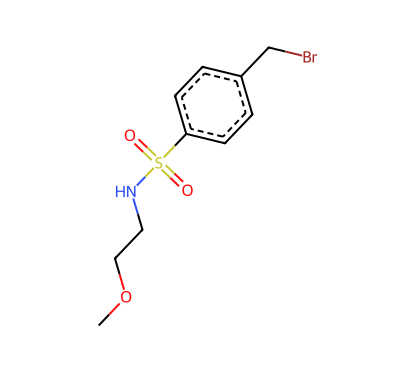 COCCNS(=O)(=O)c1ccc(CBr)cc1